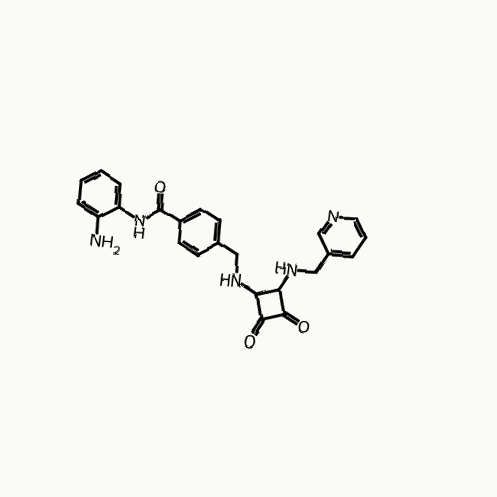 Nc1ccccc1NC(=O)c1ccc(CNC2C(=O)C(=O)C2NCc2cccnc2)cc1